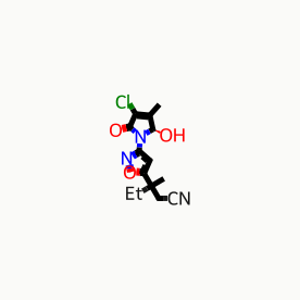 CCC(C)(CC#N)c1cc(N2C(=O)C(Cl)=C(C)[C@@H]2O)no1